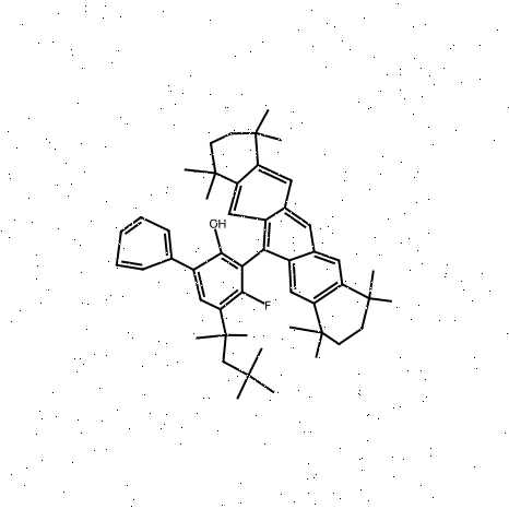 CC(C)(C)CC(C)(C)c1cc(-c2ccccc2)c(O)c(-c2c3cc4c(cc3cc3cc5c(cc23)C(C)(C)CCC5(C)C)C(C)(C)CCC4(C)C)c1F